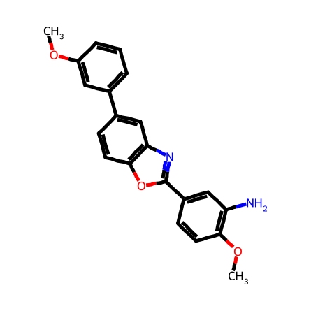 COc1cccc(-c2ccc3oc(-c4ccc(OC)c(N)c4)nc3c2)c1